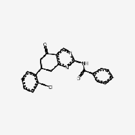 O=C(Nc1ncc2c(n1)CC(c1ccccc1Cl)CC2=O)c1ccccc1